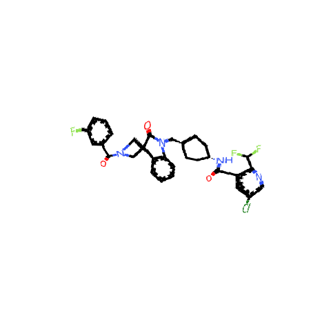 O=C(N[C@H]1CC[C@H](CN2C(=O)C3(CN(C(=O)c4cccc(F)c4)C3)c3ccccc32)CC1)c1cc(Cl)cnc1C(F)F